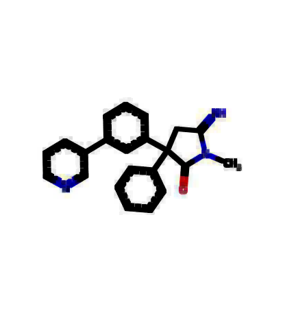 CN1C(=N)CC(c2ccccc2)(c2cccc(-c3cccnc3)c2)C1=O